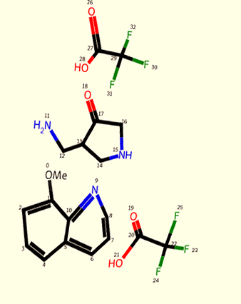 COc1cccc2cccnc12.NCC1CNCC1=O.O=C(O)C(F)(F)F.O=C(O)C(F)(F)F